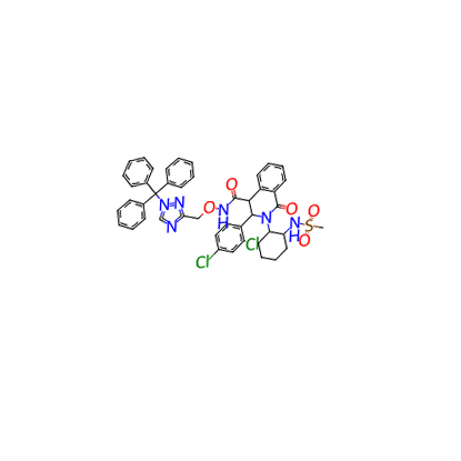 CS(=O)(=O)NC1CCCCC1N1C(=O)c2ccccc2C(C(=O)NOCc2ncn(C(c3ccccc3)(c3ccccc3)c3ccccc3)n2)C1c1ccc(Cl)cc1Cl